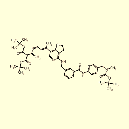 C=C(/N=C\C=C(/C)c1cnc(NCc2cccc(C(=O)Nc3ccc(CN(C)C(=O)OC(C)(C)C)cn3)c2)c2c1OCC2)N(C(=O)OC(C)(C)C)C(=O)OC(C)(C)C